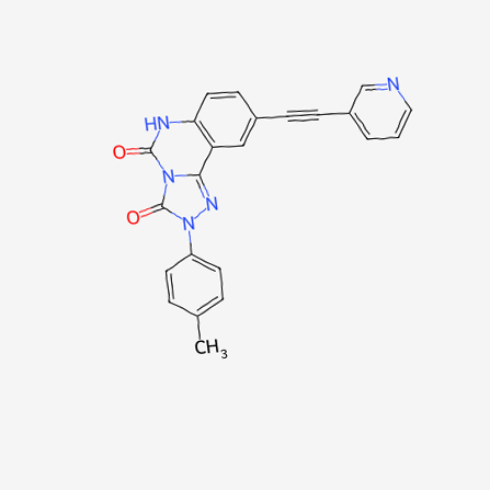 Cc1ccc(-n2nc3c4cc(C#Cc5cccnc5)ccc4[nH]c(=O)n3c2=O)cc1